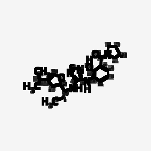 CC[C@@H](Nc1nsnc1Nc1cccc(C(=O)N2CCCC2)c1O)c1cc(C(C)C)co1